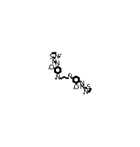 COc1cc(N(C)CCCN(C)c2ccc(/N=N/c3scc[n+]3C)c(OC)c2)ccc1/N=N/c1scc[n+]1C